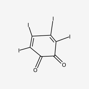 O=C1C(=O)C(I)=C(I)C(I)=C1I